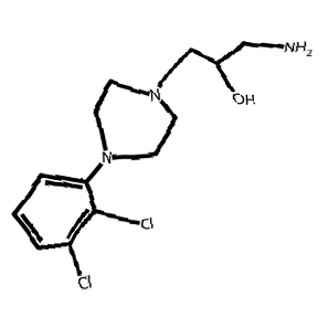 NCC(O)CN1CCN(c2cccc(Cl)c2Cl)CC1